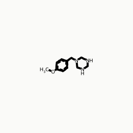 COc1ccc(CN2CNCNC2)cc1